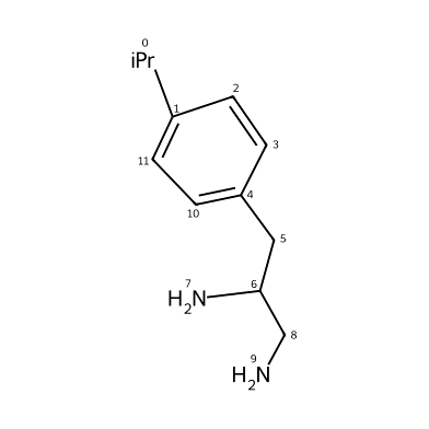 CC(C)c1ccc(CC(N)CN)cc1